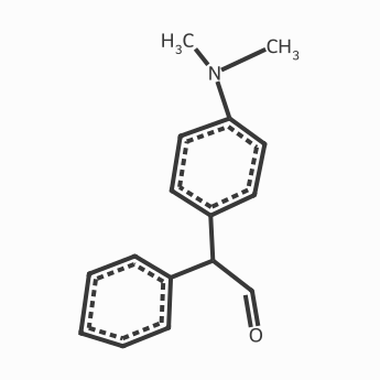 CN(C)c1ccc(C(C=O)c2ccccc2)cc1